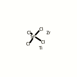 [Cl][Sn]([Cl])([Cl])[Cl].[Ti].[Zr]